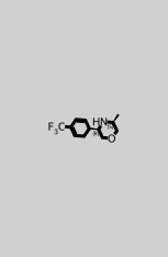 C[C@H]1COC[C@@H](C2C=CC(C(F)(F)F)=CC2)N1